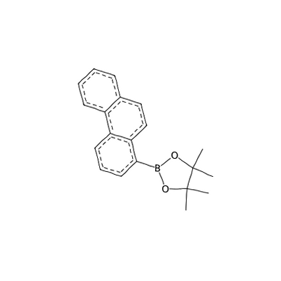 CC1(C)OB(c2cccc3c2ccc2ccccc23)OC1(C)C